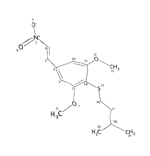 COc1cc(/C=C/[N+](=O)[O-])cc(OC)c1SCCC(C)C